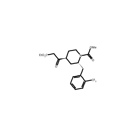 CCOC(=O)CC(=O)[C@H]1CCN(C(=O)OC)[C@H](Cc2ccccc2C(F)(F)F)C1